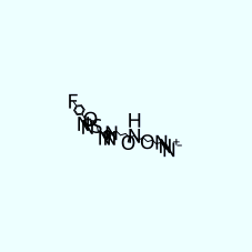 [N-]=[N+]=NCCOCCNC(=O)CCCn1cc(CSc2nnc(-c3ccc(F)cc3)o2)nn1